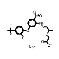 CC(CSNc1cc(Oc2ccc(C(F)(F)F)cc2Cl)ccc1[N+](=O)[O-])OCC(=O)[O-].[Na+]